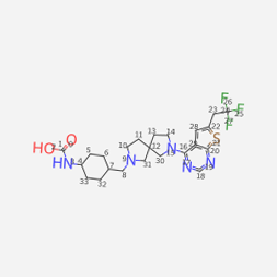 O=C(O)NC1CCC(CN2CCC3(CCN(c4ncnc5sc(CC(F)(F)F)cc45)C3)C2)CC1